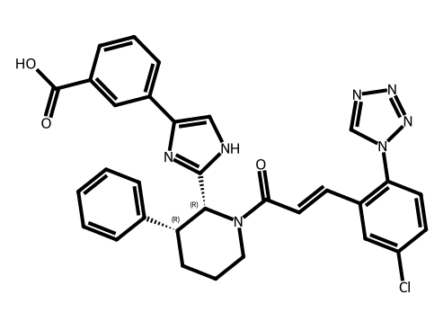 O=C(O)c1cccc(-c2c[nH]c([C@H]3[C@@H](c4ccccc4)CCCN3C(=O)C=Cc3cc(Cl)ccc3-n3cnnn3)n2)c1